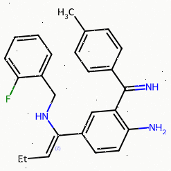 CC/C=C(\NCc1ccccc1F)c1ccc(N)c(C(=N)c2ccc(C)cc2)c1